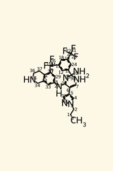 CCCn1cc(C2=CNC(N)(c3cc(C(F)(F)F)cc(C(F)(F)F)c3)N=C2Nc2ccc3c(c2)CNCC3)cn1